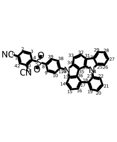 N#Cc1ccc(S(=O)(=O)c2ccc(-n3c4cccc5c6ccccc6n6c7ccccc7c7ccc3c(c54)c76)cc2)c(C#N)c1